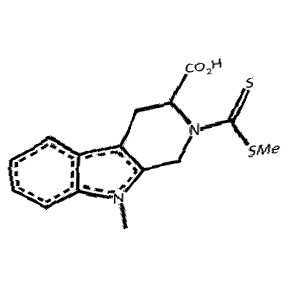 CSC(=S)N1Cc2c(c3ccccc3n2C)CC1C(=O)O